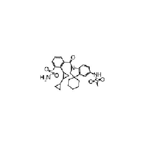 CS(=O)(=O)Nc1ccc2c(c1)C1(CCCCC1)CN2C(=O)c1cccc(S(N)(=O)=O)c1C1CC1C1CC1